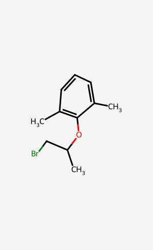 Cc1cccc(C)c1OC(C)CBr